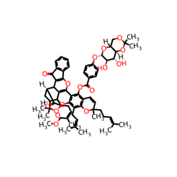 COC(=O)/C(C)=C\CC12OC(C)(C)[C@H]3C[C@H](C1=O)C1C4=C(OC5=C1C32Oc1c(CC=C(C)C)c2c(c(OC(=O)c3ccc(O[C@@H]6O[C@@H]7COC(C)(C)O[C@H]7[C@H](O)[C@H]6O)cc3)c15)C=CC(C)(CCC=C(C)C)O2)c1ccccc1C4=O